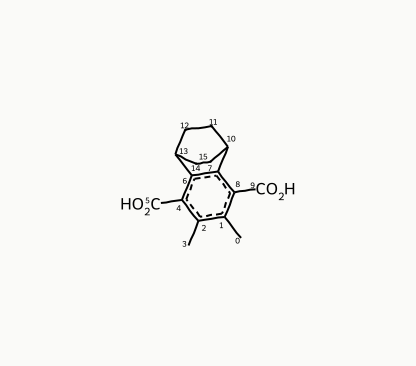 Cc1c(C)c(C(=O)O)c2c(c1C(=O)O)C1CCC2CC1